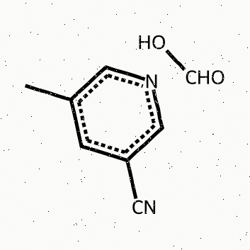 Cc1cncc(C#N)c1.O=CO